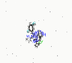 C=Cc1nc(-c2ccccc2Cl)n(C[C@H]2CCNC2)c1/N=C(\N)NCc1cc(F)ccc1F